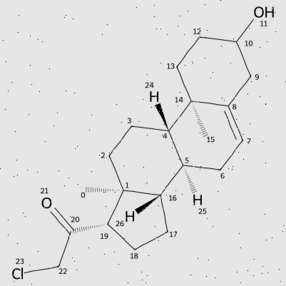 C[C@]12CC[C@H]3[C@@H](CC=C4CC(O)CC[C@@]43C)[C@@H]1CC[C@@H]2C(=O)CCl